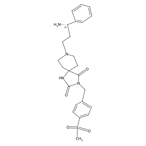 CS(=O)(=O)c1ccc(CN2C(=O)NC3(CCN(CC[C@H](N)c4ccccc4)CC3)C2=O)cc1